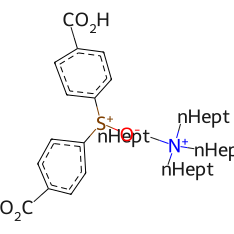 CCCCCCC[N+](CCCCCCC)(CCCCCCC)CCCCCCC.O=C(O)c1ccc([S+]([O-])c2ccc(C(=O)O)cc2)cc1